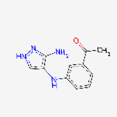 CC(=O)c1cccc(Nc2c[nH]nc2N)c1